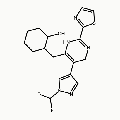 OC1CCCCC1CC1=C(c2cnn(C(F)F)c2)CN=C(c2nccs2)N1